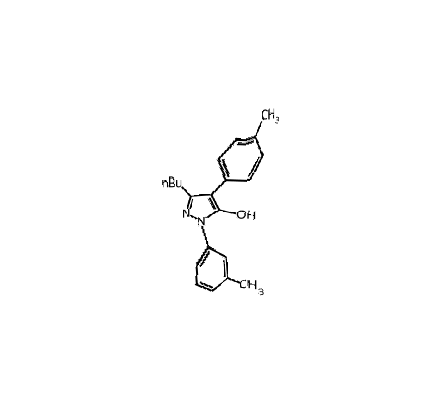 CCCCc1nn(-c2cccc(C)c2)c(O)c1-c1ccc(C)cc1